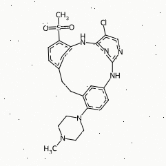 CN1CCN(c2ccc3cc2CCc2ccc(S(C)(=O)=O)c(c2)Nc2nc(ncc2Cl)N3)CC1